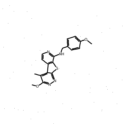 COc1ccc(CNc2nccc3c2sc2nnc(OC)c(C)c23)cc1